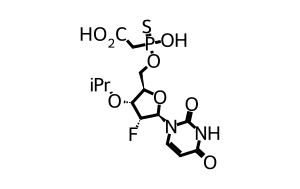 CC(C)O[C@H]1[C@@H](F)[C@H](n2ccc(=O)[nH]c2=O)O[C@@H]1COP(O)(=S)CC(=O)O